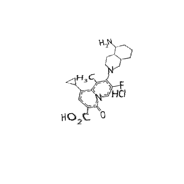 Cc1c(N2CCC3C(N)CCCC3C2)c(F)cn2c(=O)c(C(=O)O)cc(C3CC3)c12.Cl